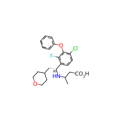 CC(CC(=O)O)N[C@H](CC1CCOCC1)c1ccc(Cl)c(Oc2ccccc2)c1F